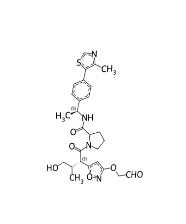 Cc1ncsc1-c1ccc([C@H](C)NC(=O)C2CCCN2C(=O)[C@H](c2cc(OCC=O)no2)C(C)CO)cc1